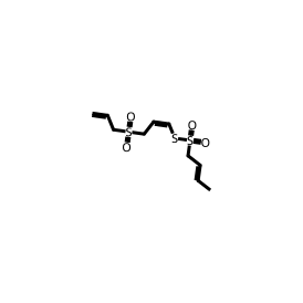 C=CCS(=O)(=O)C/C=C\SS(=O)(=O)C/C=C/C